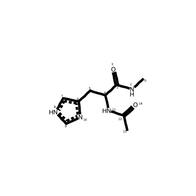 CNC(=O)C(Cc1c[nH]cn1)NC(C)=O